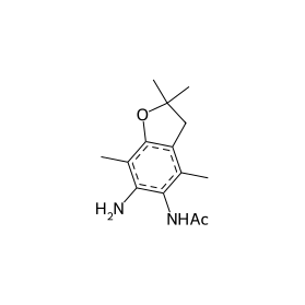 CC(=O)Nc1c(C)c2c(c(C)c1N)OC(C)(C)C2